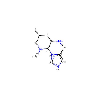 CCCN1CC(C)CC2NCc3cncn3C21